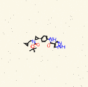 CC(C)(C)OC(=O)N(CC1CC1)[C@@H]1C[C@H]1c1ccc(NC(=O)c2cn[nH]c2)cc1